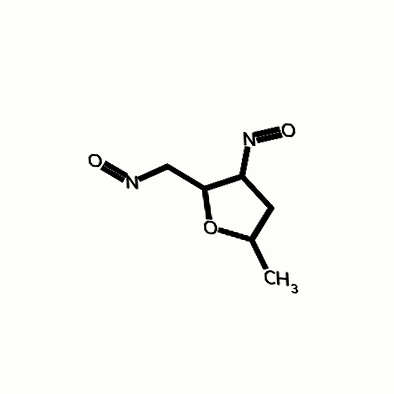 CC1CC(N=O)C(CN=O)O1